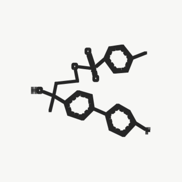 Cc1ccc(S(=O)(=O)OCCC(C)(O)c2ccc(-c3ccc(F)cc3)cc2)cc1